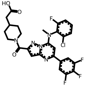 CN(c1c(F)cccc1Cl)c1cc(-c2cc(F)c(F)c(F)c2)nc2cc(C(=O)N3CCC(CC(=O)O)CC3)nn12